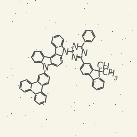 CC1(C)c2ccccc2-c2ccc(-c3nc(-c4ccccc4)nc(-n4c5ccccc5c5c6c7ccccc7n(-c7ccc8c9ccccc9c9ccccc9c8c7)c6ccc54)n3)cc21